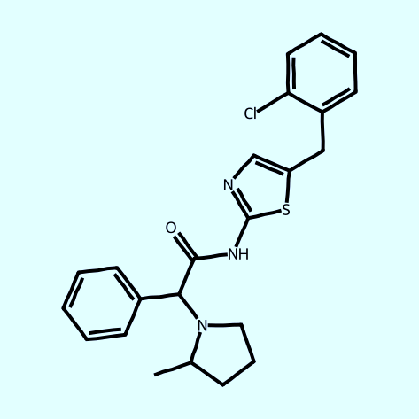 CC1CCCN1C(C(=O)Nc1ncc(Cc2ccccc2Cl)s1)c1ccccc1